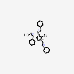 CCc1n(/N=C/c2ccccc2)cc[n+]1/N=C/c1ccccc1.O/N=C\c1ccccc1